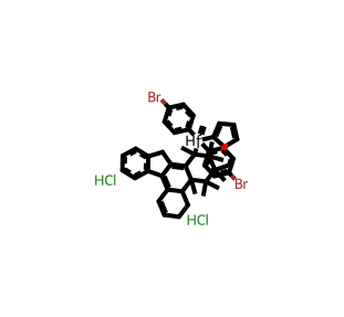 Cl.Cl.[CH2]=[Hf]([C]1=CC=CC1)([c]1ccc(Br)cc1)([c]1ccc(Br)cc1)[C]1(C)C2=C3Cc4ccccc4C3=C3C=CCCC3C2(C)C(C)(C)C(C)(C)C1(C)C